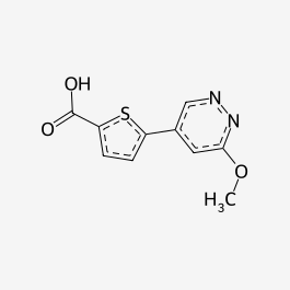 COc1cc(-c2ccc(C(=O)O)s2)cnn1